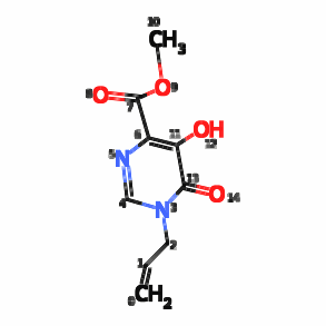 C=CCn1cnc(C(=O)OC)c(O)c1=O